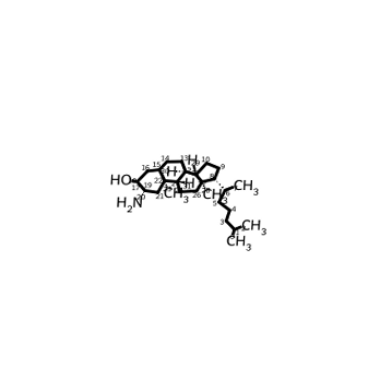 CC(C)CCCC(C)[C@H]1CC[C@H]2[C@@H]3CCC4CC(O)[C@@H](N)C[C@]4(C)[C@H]3CC[C@]12C